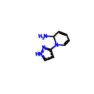 NC1C=CC=CN1c1cc[nH]n1